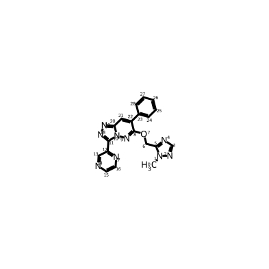 Cn1ncnc1COc1nn2c(-c3cnccn3)nnc2cc1-c1ccccc1